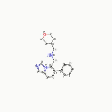 c1ccc(-c2ccc3cncn3c2CNCC2CCOCC2)cc1